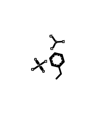 CCc1ccccc1.Cl[Si](Cl)Cl.O=S(=O)(Cl)Cl